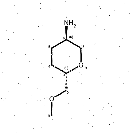 COC[C@@H]1CC[C@@H](N)CO1